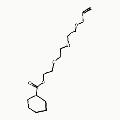 C=CCOCCOCCOCCOC(=O)C1CCCCC1